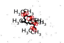 CCC(CCCC1OC(C)(C)OC1C1COC(C)(C)O1)CCC1OC(C)(C)OC1C1COC(C)(C)O1